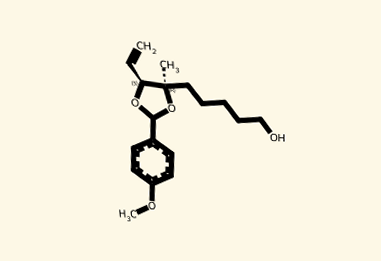 C=C[C@@H]1OC(c2ccc(OC)cc2)O[C@]1(C)CCCCCO